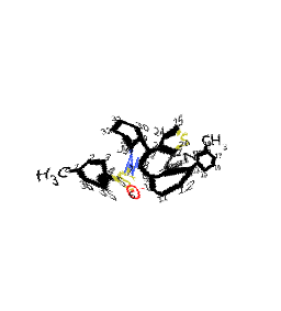 Cc1ccc([S+]([O-])n2c(-c3cccc(-c4cccc(C)c4)c3)c(-c3ccsc3C#N)c3ccccc32)cc1